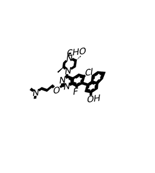 C[C@@H]1CN(c2nc(OCCCN(C)C)nc3c(F)c(-c4cc(O)cc5ccccc45)c(Cl)cc23)[C@@H](C)CN1C=O